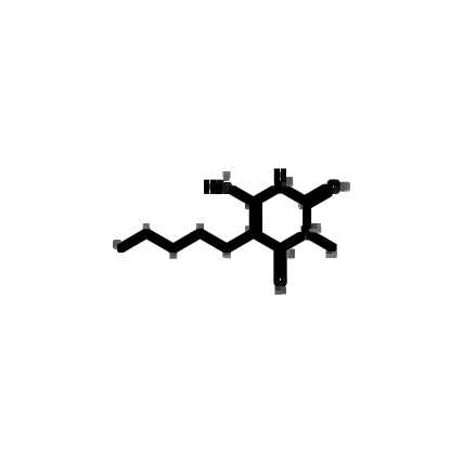 CCCCCc1c([SeH])[nH]c(=O)n(C)c1=O